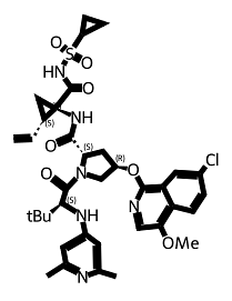 C=C[C@@H]1C[C@]1(NC(=O)[C@@H]1C[C@@H](Oc2ncc(OC)c3ccc(Cl)cc23)CN1C(=O)[C@@H](Nc1cc(C)nc(C)c1)C(C)(C)C)C(=O)NS(=O)(=O)C1CC1